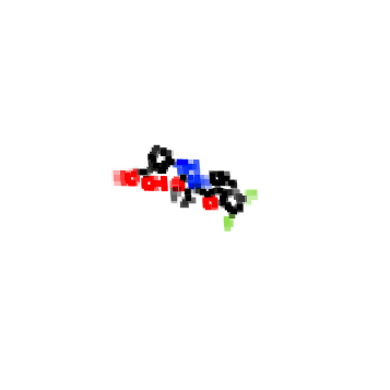 Cc1c([C@@H](NC(=O)Nc2cccc(C(O)CO)c2)C(F)(F)F)oc2c(F)cc(F)cc12